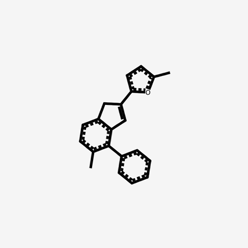 Cc1ccc(C2=Cc3c(ccc(C)c3-c3ccccc3)C2)o1